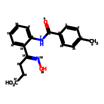 Cc1ccc(C(=O)Nc2ccccc2C(CCC(=O)O)=NO)cc1